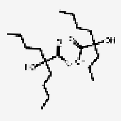 CCCCC(O)(CCC)C(=O)O.CCCCC(O)(CCCC)C(=O)O